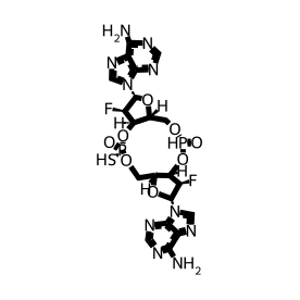 Nc1ncnc2c1ncn2[C@@H]1O[C@@H]2CO[P@@](=O)(S)O[C@H]3[C@@H](F)[C@H](n4cnc5c(N)ncnc54)O[C@@H]3CO[PH](=O)O[C@H]2[C@H]1F